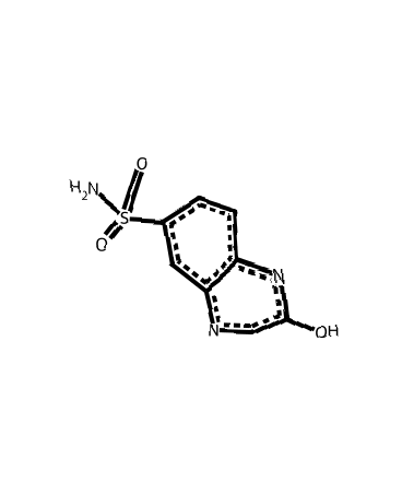 NS(=O)(=O)c1ccc2nc(O)cnc2c1